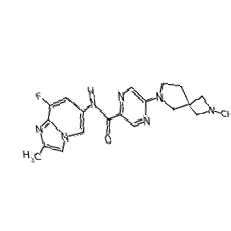 Cc1cn2cc(NC(=O)c3cnc(N4CCC5(CN(C)C5)C4)cn3)cc(F)c2n1